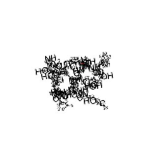 CC[C@H](CC(C)C)C(=O)N[C@H]1C(=O)C[C@@H](CC(=O)NC(=O)NCCOCCOC)C(=O)NC2C(=O)C[C@H]3C(=O)N[C@H](C(=O)N[C@H](C(=O)CC4C5CC6CC(C5)CC4C6)c4cc(O)cc(O)c4-c4cc3ccc4O)[C@H](O)c3ccc(c(Cl)c3)Oc3cc2cc(c3O[C@@H]2O[C@H](CN)[C@@H](O)[C@H](O)[C@H]2O)Oc2ccc(cc2Cl)[C@H]1O